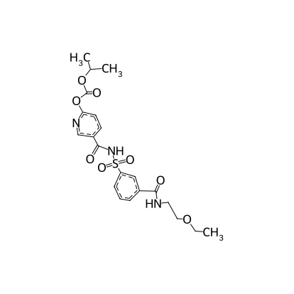 CCOCCNC(=O)c1cccc(S(=O)(=O)NC(=O)c2ccc(OC(=O)OC(C)C)nc2)c1